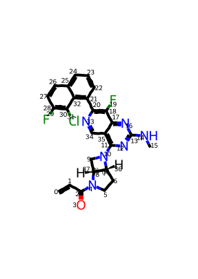 C=CC(=O)N1CC[C@@H]2[C@H]1CN2c1nc(NC)nc2c(F)c(-c3cccc4ccc(F)c(Cl)c34)ncc12